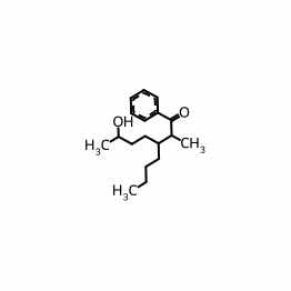 CCCCC(CCC(C)O)C(C)C(=O)c1ccccc1